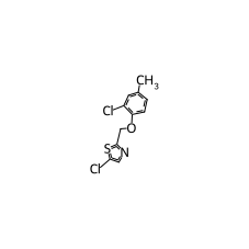 Cc1ccc(OCc2ncc(Cl)s2)c(Cl)c1